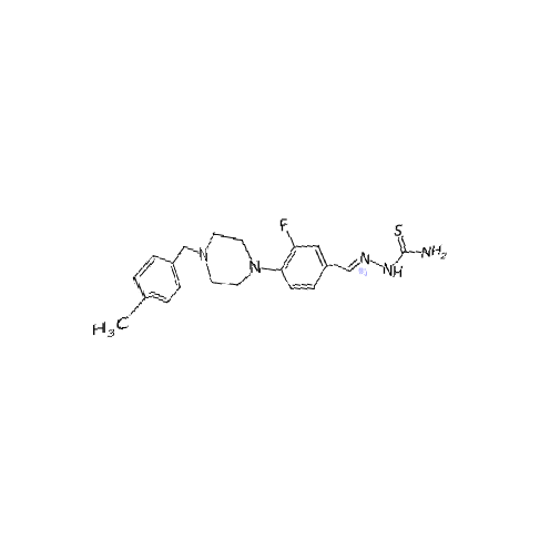 Cc1ccc(CN2CCN(c3ccc(/C=N/NC(N)=S)cc3F)CC2)cc1